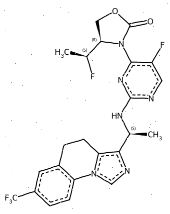 C[C@H](Nc1ncc(F)c(N2C(=O)OC[C@@H]2[C@H](C)F)n1)c1ncn2c1CCc1cc(C(F)(F)F)ccc1-2